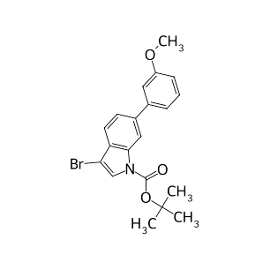 COc1cccc(-c2ccc3c(Br)cn(C(=O)OC(C)(C)C)c3c2)c1